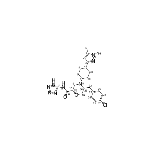 Cc1cc(C2CCC(N3C[C@H](C(=O)Nc4nnn[nH]4)OC[C@@H]3Cc3ccc(Cl)cc3)CC2)nn1C